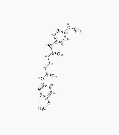 COc1ccc(OC(=O)CCCC(=O)Oc2ccc(OC)cc2)cc1